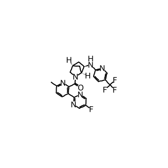 Cc1ccc(-c2ncc(F)cn2)c(C(=O)N2C[C@H]3C[C@@H](Nc4ccc(C(F)(F)F)cn4)[C@@H]2C3)n1